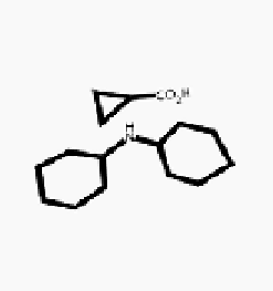 C1CCC(NC2CCCCC2)CC1.O=C(O)C1CC1